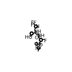 Cc1csc([C@H]2CCCN2C(=O)c2cc(CF)cc(C(=O)N[C@@H](C)CC(NCc3cncc(C(F)(F)F)c3)c3cccc(O)c3)c2)n1